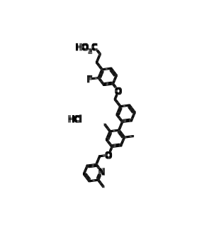 Cc1cccc(COc2cc(C)c(-c3cccc(COc4ccc(CCC(=O)O)c(F)c4)c3)c(C)c2)n1.Cl